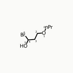 [CH2]CCOCCC(O)Br